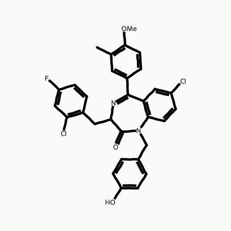 COc1ccc(C2=NC(Cc3ccc(F)cc3Cl)C(=O)N(Cc3ccc(O)cc3)c3ccc(Cl)cc32)cc1C